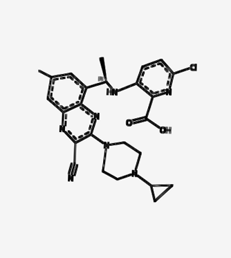 Cc1cc([C@@H](C)Nc2ccc(Cl)nc2C(=O)O)c2nc(N3CCN(C4CC4)CC3)c(C#N)nc2c1